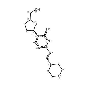 O=c1nc(/N=C/N2CCOCC2)ncn1[C@H]1CC[C@@H](CO)O1